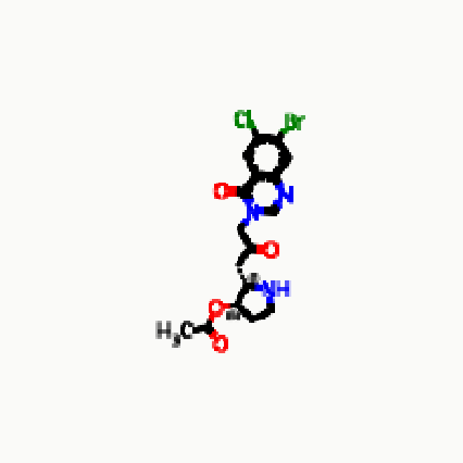 CC(=O)O[C@@H]1CCN[C@H]1CC(=O)Cn1cnc2cc(Br)c(Cl)cc2c1=O